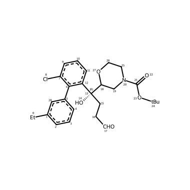 CCc1cccc(-c2c(Cl)cccc2[C@](O)(CCC=O)C2CN(C(=O)OC(C)(C)C)CCO2)c1